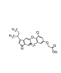 CCC(C)c1c[nH]c2ccc(Oc3c(C)cc(OCC(=O)O)cc3Cl)cc12